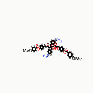 COC1CCC(C(=O)Oc2ccc(/C=C/C(=O)CC(Cc3ccc(N)cc3)(Cc3ccc(N)cc3)C(O)(O)C(=O)/C=C/c3ccc(OC(=O)C4CCC(OC)CC4)cc3)cc2)CC1